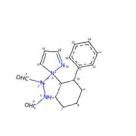 O=CNN(C=O)[N+]1(C2CCCC[C]2c2ccccc2)C=CC=N1